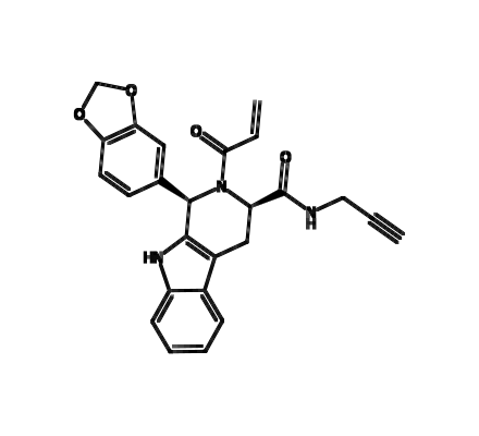 C#CCNC(=O)[C@H]1Cc2c([nH]c3ccccc23)[C@@H](c2ccc3c(c2)OCO3)N1C(=O)C=C